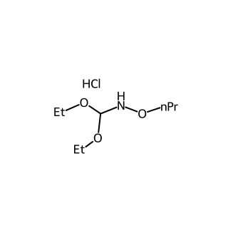 CCCONC(OCC)OCC.Cl